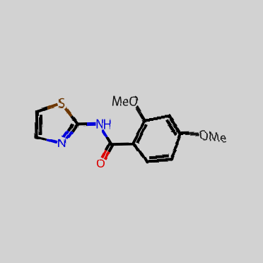 COc1ccc(C(=O)Nc2nccs2)c(OC)c1